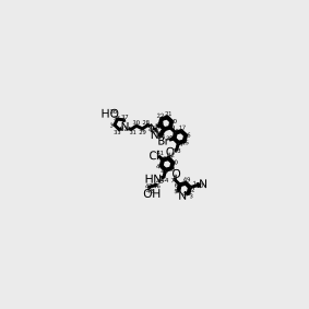 N#Cc1cncc(COc2cc(OCc3cccc(-c4cccc5c4cnn5CCCCN4CCC(O)C4)c3Br)c(Cl)cc2CNCCO)c1